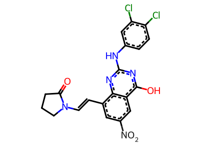 O=C1CCCN1C=Cc1cc([N+](=O)[O-])cc2c(O)nc(Nc3ccc(Cl)c(Cl)c3)nc12